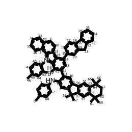 Cc1ccc(Nc2cc3c(cc2-c2cc(-c4ccc5c(c4)Cc4ccccc4-5)c4c5ccc6ccccc6c5n5c4c2Bc2cc(C)ccc2-5)-c2cc4c(cc2C3(C)C)C(C)(C)CCC4(C)C)cc1